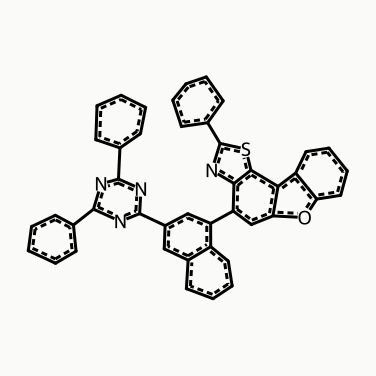 c1ccc(-c2nc(-c3ccccc3)nc(-c3cc(-c4cc5oc6ccccc6c5c5sc(-c6ccccc6)nc45)c4ccccc4c3)n2)cc1